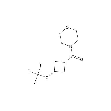 O=C([C@H]1C[C@@H](OC(F)(F)F)C1)N1CCOCC1